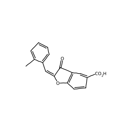 Cc1ccccc1C=C1Oc2ccc(C(=O)O)cc2C1=O